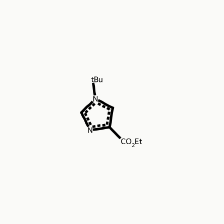 CCOC(=O)c1cn(C(C)(C)C)cn1